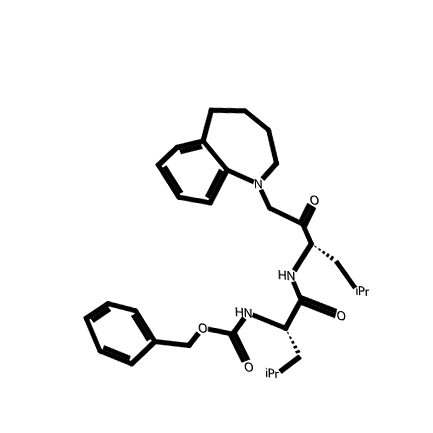 CC(C)C[C@H](NC(=O)[C@H](CC(C)C)NC(=O)OCc1ccccc1)C(=O)CN1CCCCc2ccccc21